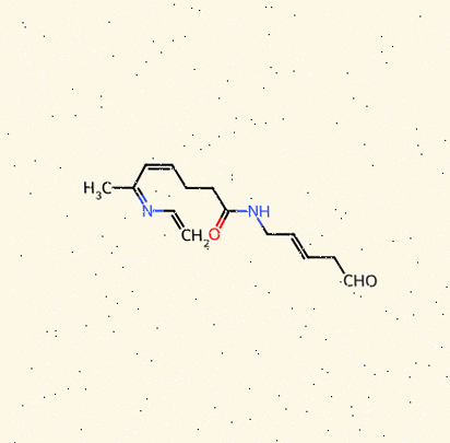 C=C/N=C(C)\C=C/CCC(=O)NC/C=C/CC=O